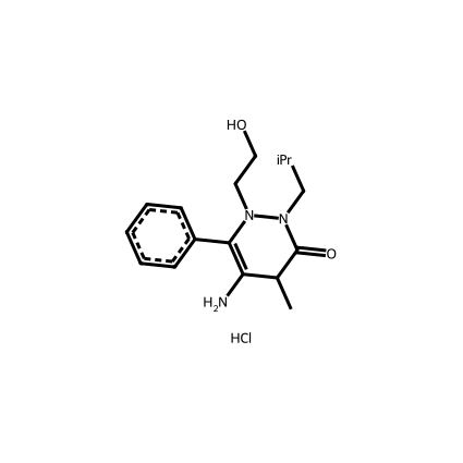 CC(C)CN1C(=O)C(C)C(N)=C(c2ccccc2)N1CCO.Cl